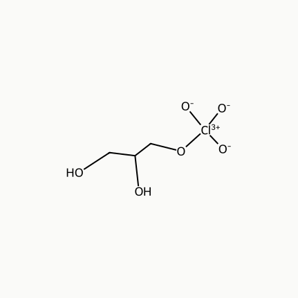 [O-][Cl+3]([O-])([O-])OCC(O)CO